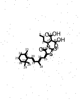 CCCC(C(C(=O)O)C(=O)O)N1C(=O)C(=CC=C(C)C=CC2=C(C)CCCC2(C)C)SC1=S